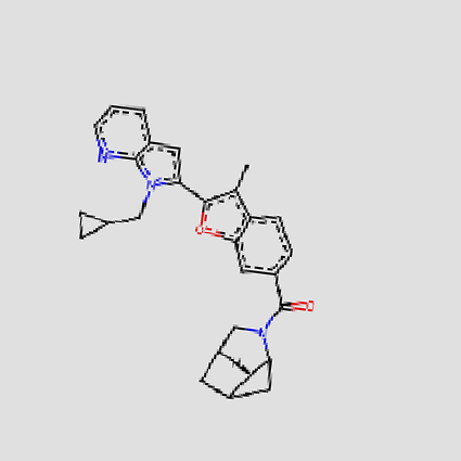 Cc1c(-c2cc3cccnc3n2CC2CC2)oc2cc(C(=O)N3CC4CC5CC3[C@H]54)ccc12